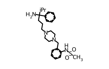 CC(C)C(N)(CCCN1CCN(Cc2ccccc2NS(C)(=O)=O)CC1)c1ccccc1